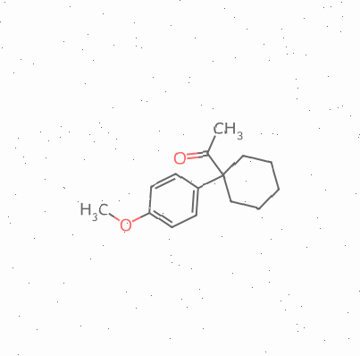 COc1ccc(C2(C(C)=O)CCCCC2)cc1